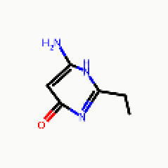 CCc1nc(=O)cc(N)[nH]1